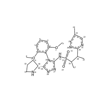 COc1cccc(OC)c1-n1c(NS(=O)(=O)C(C)C(C)c2ncc(C)cn2)nnc1[C@H]1CCCN1